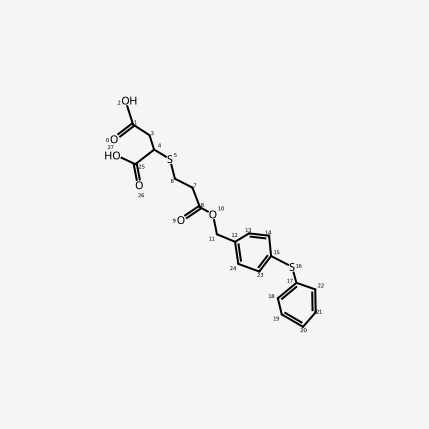 O=C(O)CC(SCCC(=O)OCc1ccc(Sc2ccccc2)cc1)C(=O)O